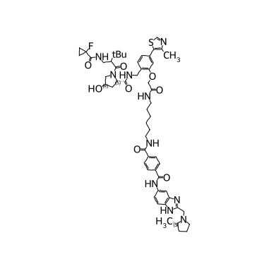 Cc1ncsc1-c1ccc(CNC(=O)[C@@H]2C[C@@H](O)CN2C(=O)C(CNC(=O)C2(F)CC2)C(C)(C)C)c(OCC(=O)NCCCCCCNC(=O)c2ccc(C(=O)Nc3ccc4[nH]c(CN5CCC[C@@H]5C)nc4c3)cc2)c1